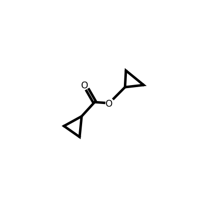 O=C(OC1CC1)C1CC1